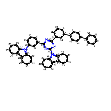 c1ccc(-c2ccc(-c3cccc(-c4nc(-c5cccc(-n6c7ccccc7c7ccccc76)c5)nc(-n5c6ccccc6c6ccccc65)n4)c3)cc2)cc1